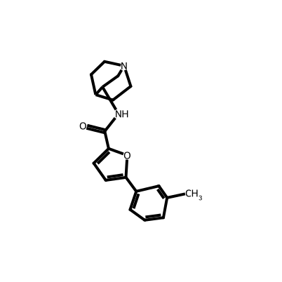 Cc1cccc(-c2ccc(C(=O)NC3CN4CCC3CC4)o2)c1